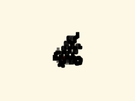 CCCC[C@H](C(=O)O)N(C(=O)OC)C(=O)[C@H](Cc1c[nH]c2ccccc12)N(C(=O)[C@@H](N)CC(C)(C)C)C(=O)N1[C@H](C)CCC[C@@H]1C